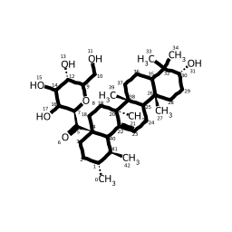 C[C@@H]1CC[C@]2(C(=O)[C@@H]3OC(CO)[C@@H](O)C(O)C3O)CC[C@]3(C)C(=CCC4[C@@]5(C)CC[C@@H](O)C(C)(C)C5CC[C@]43C)C2[C@H]1C